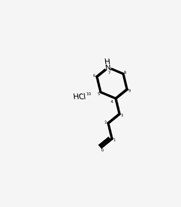 C=CCCC1CCNCC1.Cl